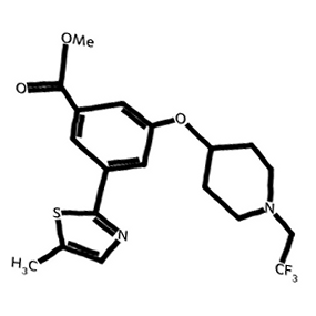 COC(=O)c1cc(OC2CCN(CC(F)(F)F)CC2)cc(-c2ncc(C)s2)c1